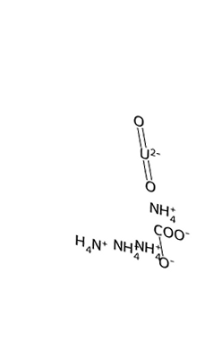 O=C([O-])[O-].[NH4+].[NH4+].[NH4+].[NH4+].[O]=[U-2]=[O]